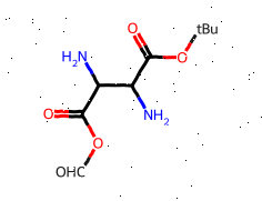 CC(C)(C)OC(=O)C(N)C(N)C(=O)OC=O